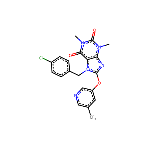 Cn1c(=O)c2c(nc(Oc3cncc(C(F)(F)F)c3)n2Cc2ccc(Cl)cc2)n(C)c1=O